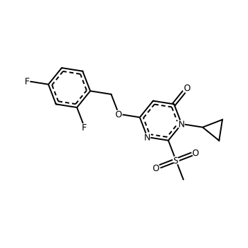 CS(=O)(=O)c1nc(OCc2ccc(F)cc2F)cc(=O)n1C1CC1